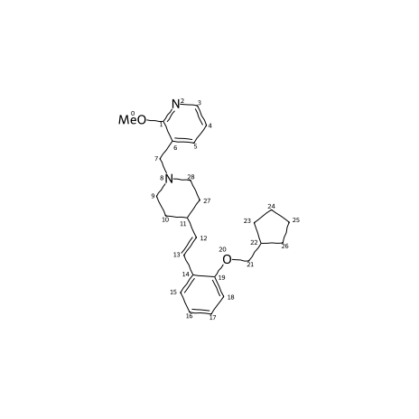 COc1ncccc1CN1CCC(C=Cc2ccccc2OCC2CCCC2)CC1